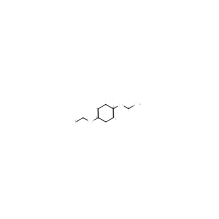 ClCOC1CCC(OCCl)CC1